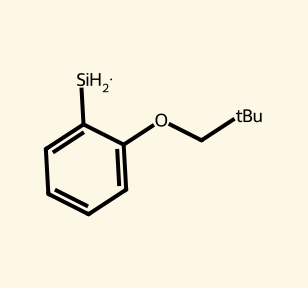 CC(C)(C)COc1ccccc1[SiH2]